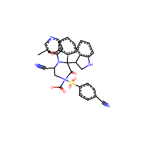 CCOc1ccccc1C1(C2CNc3ccccc32)C(=O)[N+](C(=O)[O-])(S(=O)(=O)c2ccc(C#N)cc2)CC(C#N)N1c1ccncc1